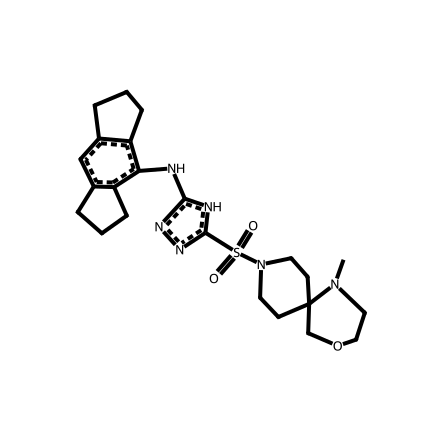 CN1CCOCC12CCN(S(=O)(=O)c1nnc(Nc3c4c(cc5c3CCC5)CCC4)[nH]1)CC2